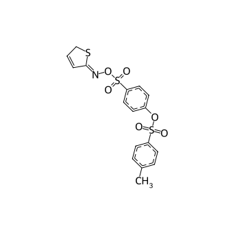 Cc1ccc(S(=O)(=O)Oc2ccc(S(=O)(=O)ON=C3C=CCS3)cc2)cc1